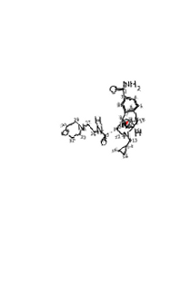 NC(=O)c1ccc2c(c1)[C@]13CCN(CC4CC4)[C@H](C2)[C@]1(O)C[C@@H](C(=O)NCCN1CCOCC1)C3